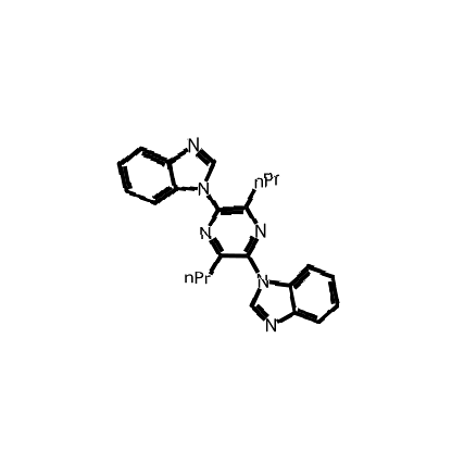 CCCc1nc(-n2cnc3ccccc32)c(CCC)nc1-n1cnc2ccccc21